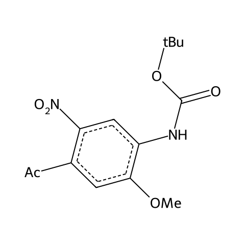 COc1cc(C(C)=O)c([N+](=O)[O-])cc1NC(=O)OC(C)(C)C